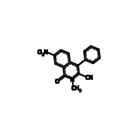 Cn1c(C#N)c(-c2ccccc2)c2ccc([N+](=O)[O-])cc2c1=O